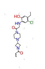 C=CC(=O)N1CC(N2CCN(C(=O)CNc3cc(Cl)c(CC)cc3O)CC2)C1